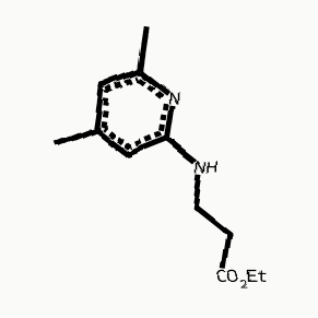 CCOC(=O)CCNc1cc(C)cc(C)n1